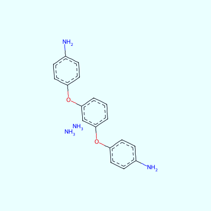 N.N.Nc1ccc(Oc2cccc(Oc3ccc(N)cc3)c2)cc1